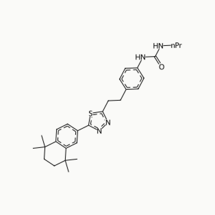 CCCNC(=O)Nc1ccc(CCc2nnc(-c3ccc4c(c3)C(C)(C)CCC4(C)C)s2)cc1